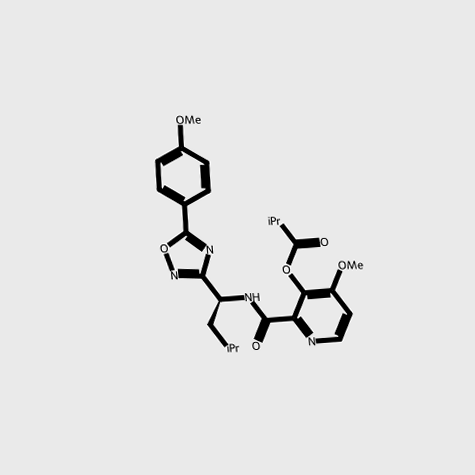 COc1ccc(-c2nc([C@H](CC(C)C)NC(=O)c3nccc(OC)c3OC(=O)C(C)C)no2)cc1